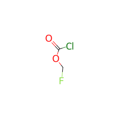 O=C(Cl)OCF